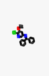 CCOc1cc(N=C(c2ccccc2)c2ccccc2)cnc1Cl